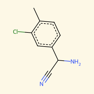 Cc1ccc(C(N)C#N)cc1Cl